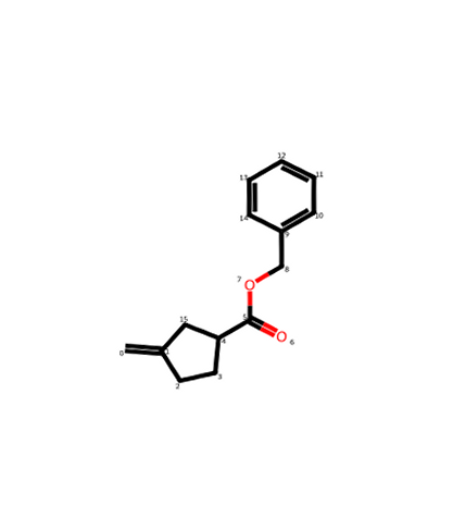 C=C1CCC(C(=O)OCc2ccccc2)C1